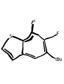 CC(C)(C)c1cc2ccsc2c(F)c1F